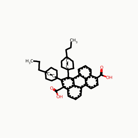 CCCC12CCC(c3c(C(=O)O)c4cccc5c6ccc(C(=O)O)c7cccc(c(c3C38CCC(CCC)(CC3)CC8)c45)c76)(CC1)CC2